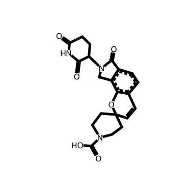 O=C1CCC(N2Cc3c(ccc4c3OC3(C=C4)CCN(C(=O)O)CC3)C2=O)C(=O)N1